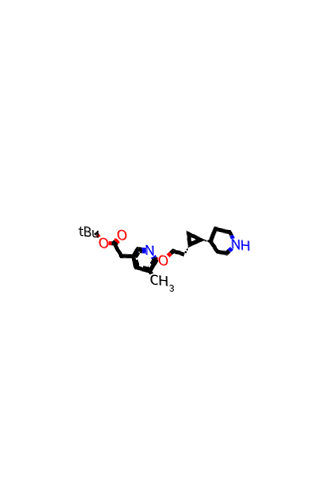 Cc1cc(CC(=O)OC(C)(C)C)cnc1OCC[C@@H]1C[C@@H]1C1CCNCC1